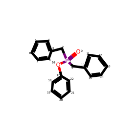 O=P(Cc1ccccc1)(Cc1ccccc1)Oc1ccccc1